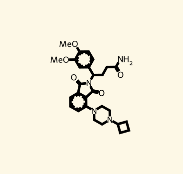 COc1ccc(C(CCC(N)=O)N2C(=O)c3cccc(N4CCN(C5CCC5)CC4)c3C2=O)cc1OC